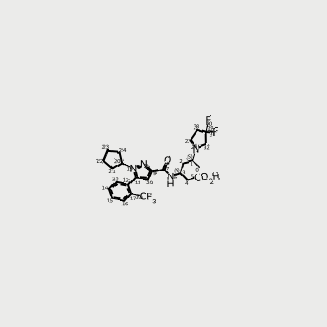 C[C@@H](C[C@@H](CC(=O)O)NC(=O)c1cc(-c2ccccc2C(F)(F)F)n(C2CCCC2)n1)N1CCC(F)(F)C1